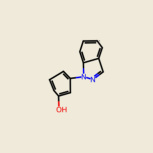 Oc1cccc(-n2ncc3c[c]ccc32)c1